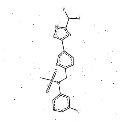 CS(=O)(=O)N(Cc1ccc(-c2nnc(C(F)F)o2)cn1)c1cccc(Cl)c1